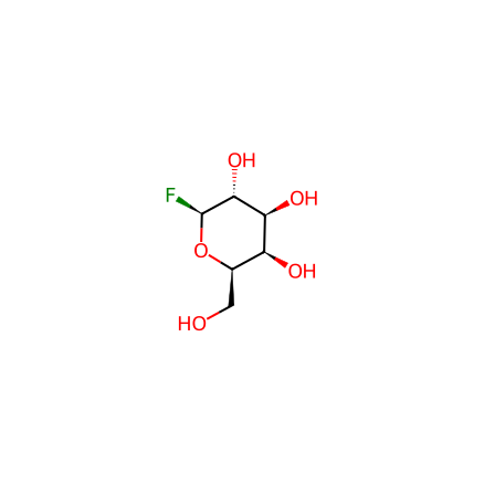 OC[C@H]1O[C@@H](F)[C@H](O)[C@@H](O)[C@H]1O